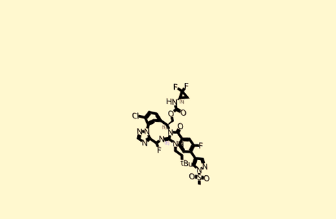 CC(C)(C)CCN/C1=N\C(F)c2ncnn2-c2cc(ccc2Cl)[C@@H](COC(=O)N[C@H]2CC2(F)F)N1C(=O)c1ccc(-c2cnn(S(C)(=O)=O)c2)c(F)c1